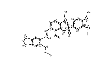 C=Cc1c(/C=C(\C)c2cc3c(cc2CCC)OCO3)ccc(OC)c1OS(=O)(=O)c1ccc(OC)c(OC)c1